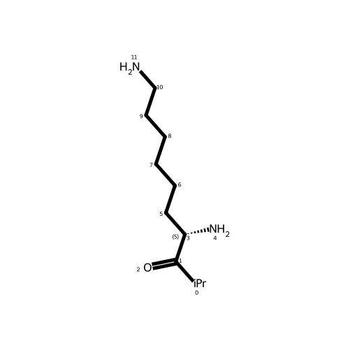 CC(C)C(=O)[C@@H](N)CCCCCCN